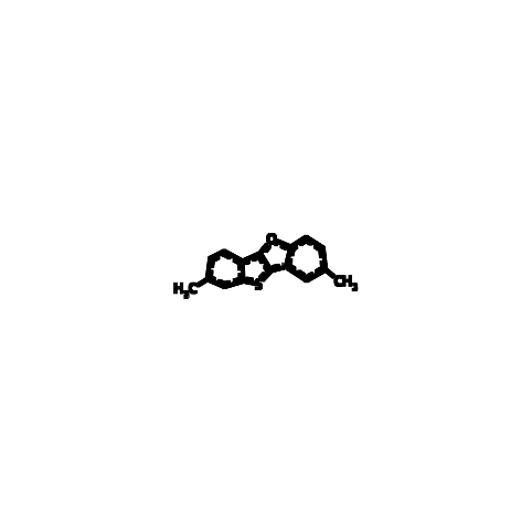 Cc1ccc2c(c1)sc1c3cc(C)ccc3oc21